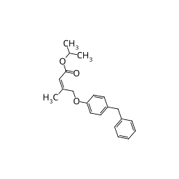 C/C(=C/C(=O)OC(C)C)COc1ccc(Cc2ccccc2)cc1